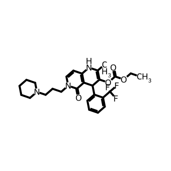 CCOC(=O)OC1=C(C)Nc2ccn(CCCN3CCCCC3)c(=O)c2C1c1ccccc1C(F)(F)F